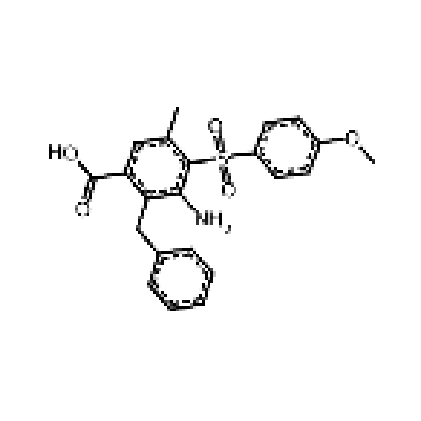 COc1ccc(S(=O)(=O)c2c(C)cc(C(=O)O)c(Cc3ccccc3)c2N)cc1